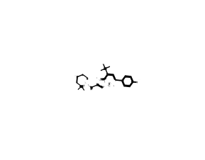 CC(C)(C)c1cc(-c2ccc(F)cc2)nn2cc(C(=O)N3CCC(O)CC3(C)C)nc12